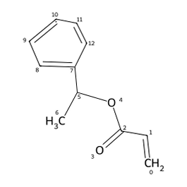 C=CC(=O)OC(C)c1cc[c]cc1